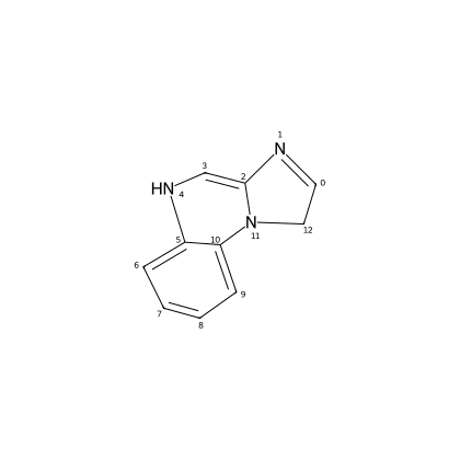 C1=NC2=CNc3ccccc3N2C1